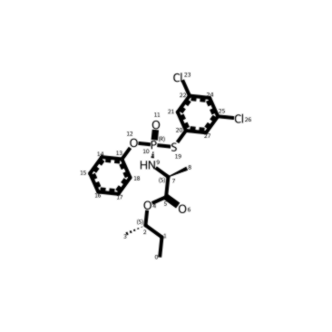 CC[C@H](C)OC(=O)[C@H](C)N[P@@](=O)(Oc1ccccc1)Sc1cc(Cl)cc(Cl)c1